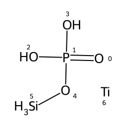 O=P(O)(O)O[SiH3].[Ti]